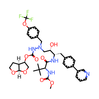 COC(=O)N[C@H](C(=O)N[C@@H](Cc1ccc(-c2cccnc2)cc1)[C@@H](O)CN(Cc1ccc(OC(F)(F)F)cc1)NC(=O)O[C@H]1CO[C@H]2OCC[C@H]21)C(C)(C)C